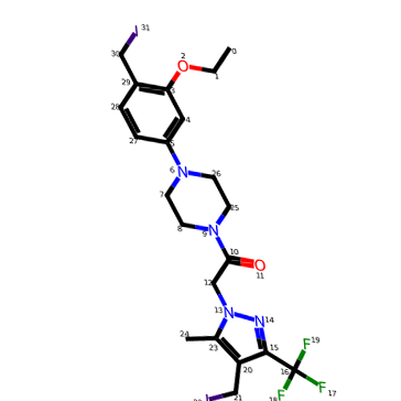 CCOc1cc(N2CCN(C(=O)Cn3nc(C(F)(F)F)c(CI)c3C)CC2)ccc1CI